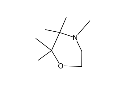 CN1CCOC(C)(C)C1(C)C